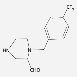 O=CC1CNCCN1Cc1ccc(C(F)(F)F)cc1